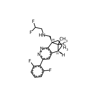 CC1(C)[C@@H]2CC[C@@]1(CNCC(F)F)c1nnc(-c3c(F)cccc3F)cc12